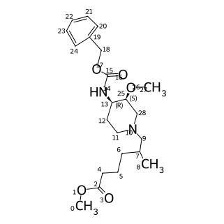 COC(=O)CCCC(C)CN1CC[C@@H](NC(=O)OCc2ccccc2)[C@@H](OC)C1